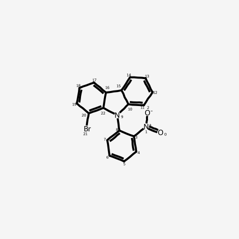 O=[N+]([O-])c1ccccc1-n1c2ccccc2c2cccc(Br)c21